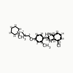 Cc1cc(OCCC[N+]2(C)CCCCC2)ccc1-c1nc2c(Cl)cccc2[nH]1